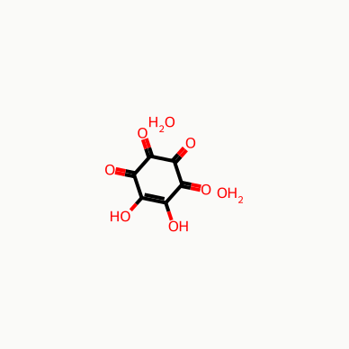 O.O.O=c1c(O)c(O)c(=O)c(=O)c1=O